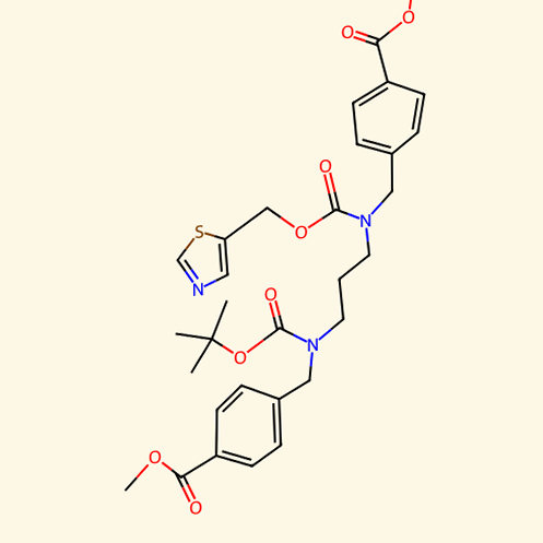 COC(=O)c1ccc(CN(CCCN(Cc2ccc(C(=O)OC)cc2)C(=O)OC(C)(C)C)C(=O)OCc2cncs2)cc1